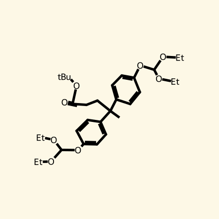 CCOC(OCC)Oc1ccc(C(C)(CCC(=O)OC(C)(C)C)c2ccc(OC(OCC)OCC)cc2)cc1